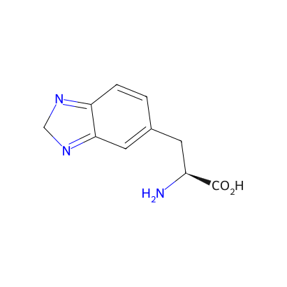 N[C@@H](Cc1ccc2c(c1)=NCN=2)C(=O)O